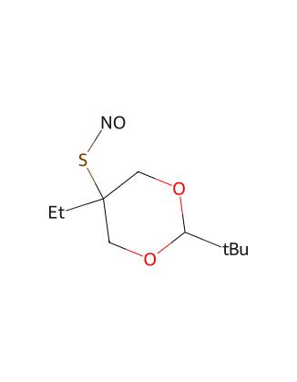 [CH2]CC1(SN=O)COC(C(C)(C)C)OC1